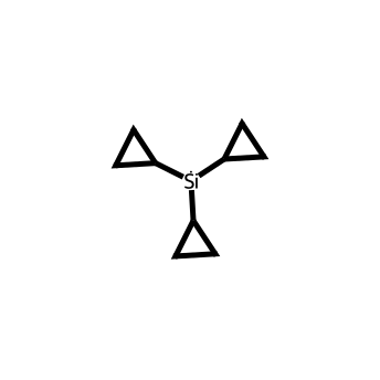 C1CC1[Si](C1CC1)C1CC1